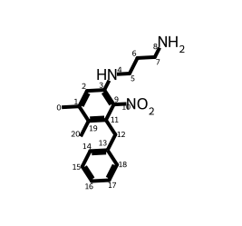 Cc1cc(NCCCN)c([N+](=O)[O-])c(Cc2ccccc2)c1C